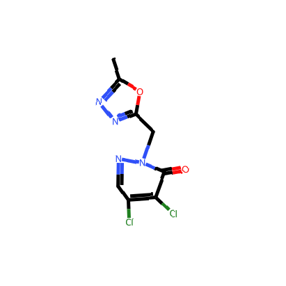 Cc1nnc(Cn2ncc(Cl)c(Cl)c2=O)o1